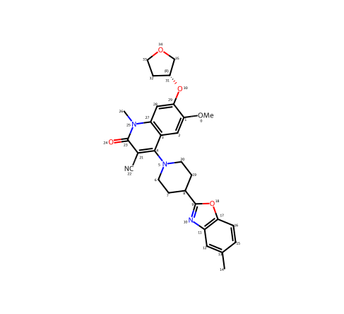 COc1cc2c(N3CCC(c4nc5cc(C)ccc5o4)CC3)c(C#N)c(=O)n(C)c2cc1O[C@@H]1CCOC1